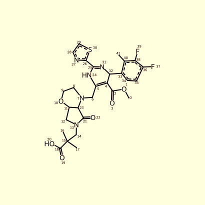 COC(=O)C1=C(CN2CCOC3CN(CC(C)(C)C(=O)O)C(=O)C32)NC(c2nccs2)=NC1c1ccc(F)c(F)c1C